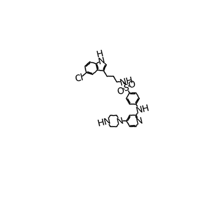 O=S(=O)(NCCCc1c[nH]c2ccc(Cl)cc12)c1ccc(Nc2cc(N3CCNCC3)ccn2)cc1